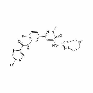 CCc1cnc(C(=O)Nc2cc(-c3cc(Nc4cc5n(n4)CCN(C)C5)c(=O)n(C)n3)ccc2F)cn1